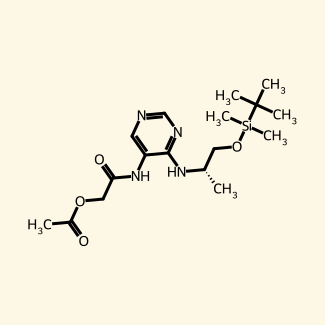 CC(=O)OCC(=O)Nc1cncnc1N[C@@H](C)CO[Si](C)(C)C(C)(C)C